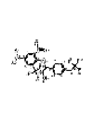 O=[N+]([O-])c1cc([N+](=O)[O-])c(NC(=NO)c2ccc(CC(F)(F)F)cc2)c(C(F)(F)F)c1